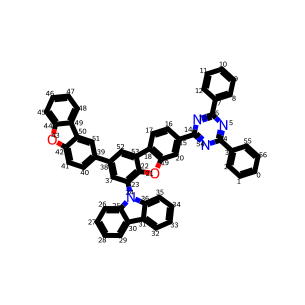 c1ccc(-c2nc(-c3ccccc3)nc(-c3ccc4c(c3)oc3c(-n5c6ccccc6c6ccccc65)cc(-c5ccc6oc7ccccc7c6c5)cc34)n2)cc1